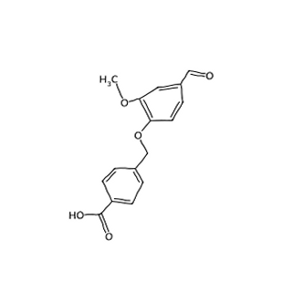 COc1cc(C=O)ccc1OCc1ccc(C(=O)O)cc1